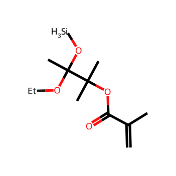 C=C(C)C(=O)OC(C)(C)C(C)(O[SiH3])OCC